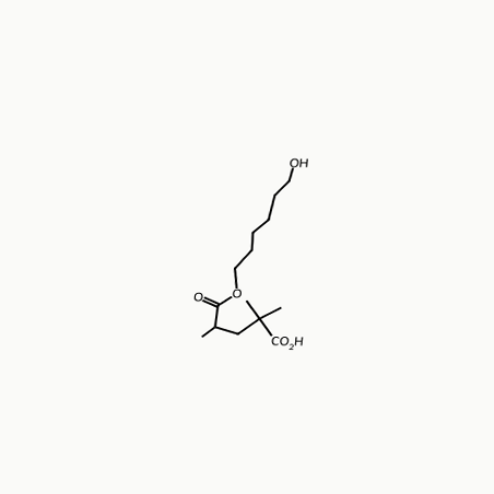 CC(CC(C)(C)C(=O)O)C(=O)OCCCCCCO